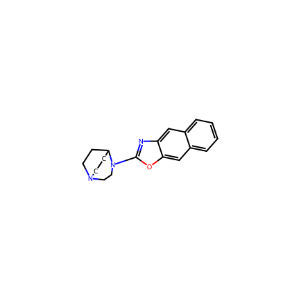 c1ccc2cc3oc(N4CCN5CCC4CC5)nc3cc2c1